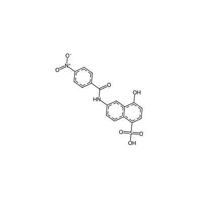 O=C(Nc1ccc2c(S(=O)(=O)O)ccc(O)c2c1)c1ccc([N+](=O)[O-])cc1